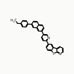 CCc1ccc(-c2ccc3ccc(-c4ccc(-c5ccc6sc7ncccc7c6c5)nc4)cc3c2)cc1